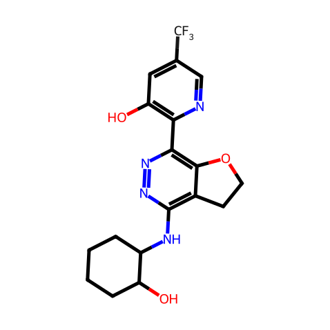 Oc1cc(C(F)(F)F)cnc1-c1nnc(NC2CCCCC2O)c2c1OCC2